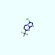 CC(F)(F)c1ccn2c(Br)cnc2n1